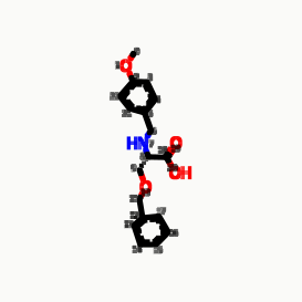 COc1ccc(CN[C@@H](COCc2ccccc2)C(=O)O)cc1